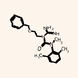 Cc1cccc(C)c1N(C)C(=O)N(CCOCc1ccccc1)C(=N)N